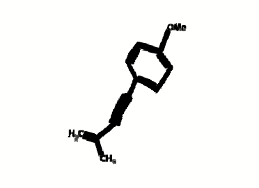 C=C(C)C#Cc1ccc(OC)cc1